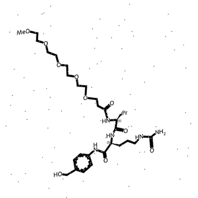 COCCOCCOCCOCCOCCC(=O)N[C@H](C(=O)N[C@@H](CCCNC(N)=O)C(=O)Nc1ccc(CO)cc1)C(C)C